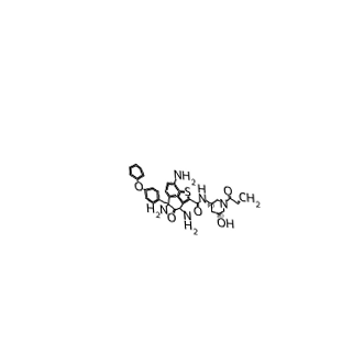 C=CC(=O)N1C[C@H](O)C[C@@H](NC(=O)c2sc3c(N)ccc4c3c2C(N)C(=O)C4(N)c2ccc(Oc3ccccc3)cc2)C1